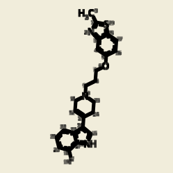 Cc1nc2cc(OCCCN3CC=C(c4c[nH]c5c(F)cccc45)CC3)ccc2s1